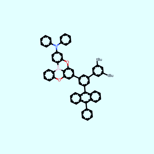 CC(C)(C)c1cc(-c2cc(-c3cc4c5c(c3)Oc3cc(N(c6ccccc6)c6ccccc6)ccc3B5c3ccccc3O4)cc(-c3c4ccccc4c(-c4ccccc4)c4ccccc34)c2)cc(C(C)(C)C)c1